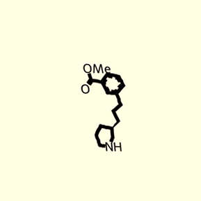 COC(=O)c1cccc(CCC[C@@H]2CCCNC2)c1